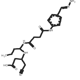 CCCC(NC(=O)CCC(=O)Nc1ccc(C=NN)cc1)NC(CC#N)CC(=O)O